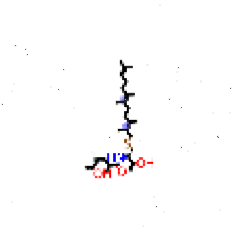 C=C(O)[C@H](C)CC(C)C(=O)N[C@@H](CSC/C(C)=C(\C)CC/C(C)=C(\C)CCC=C(C)C)C(=C)O